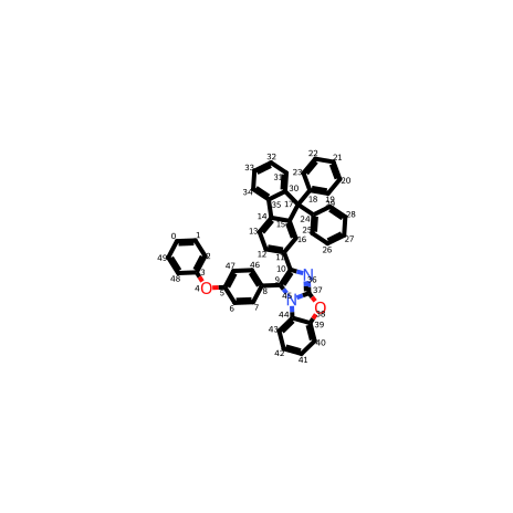 c1ccc(Oc2ccc(-c3c(-c4ccc5c(c4)C(c4ccccc4)(c4ccccc4)c4ccccc4-5)nc4oc5ccccc5n34)cc2)cc1